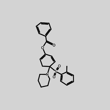 Cc1ccccc1S(=O)(=O)C1(N2CCCCC2)C=CC(OC(=O)c2ccccc2)=CC1